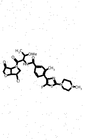 COC(C)C(NC(=O)c1ccc(-c2nc(N3CCN(C)CC3)sc2F)c(C)c1)C(=O)N1CC(Cl)C2OCC(=O)C21